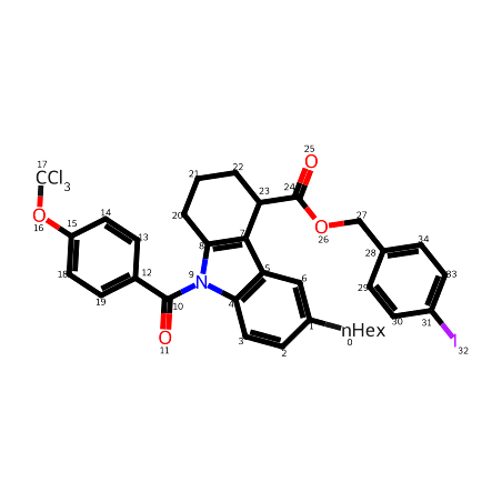 CCCCCCc1ccc2c(c1)c1c(n2C(=O)c2ccc(OC(Cl)(Cl)Cl)cc2)CCCC1C(=O)OCc1ccc(I)cc1